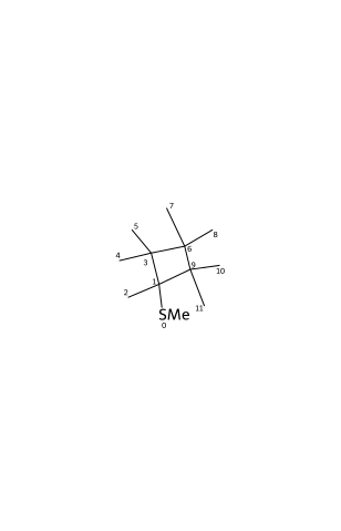 CSC1(C)C(C)(C)C(C)(C)C1(C)C